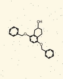 OC1CCc2c(OCc3ccccc3)ccc(OCc3ccccc3)c2C1